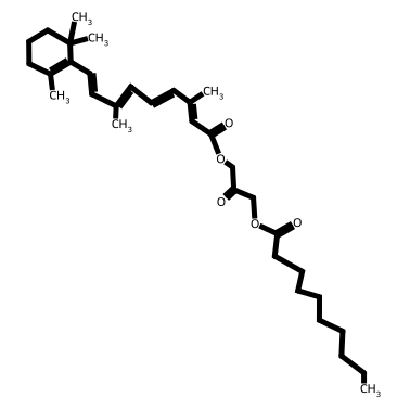 CCCCCCCCCC(=O)OCC(=O)COC(=O)C=C(C)C=CC=C(C)C=CC1=C(C)CCCC1(C)C